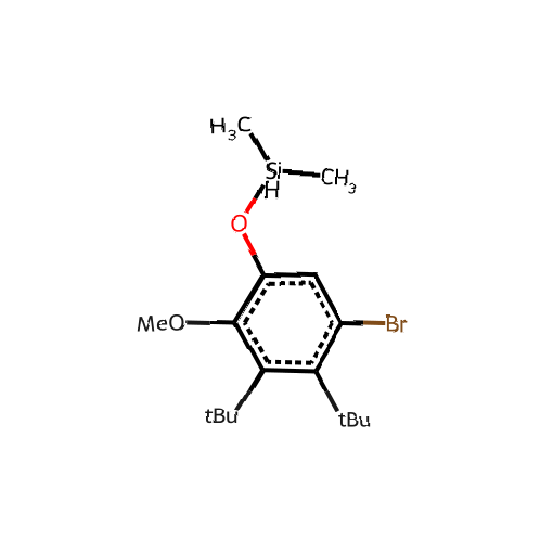 COc1c(O[SiH](C)C)cc(Br)c(C(C)(C)C)c1C(C)(C)C